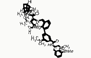 COc1cccc(C[C@@H](CN(C)C)NC(=O)c2cc(-c3cccc(CN4O[C@@H](CO)[C@H]([C@H](C)O)[C@H]4C(=O)N[C@H]4C[C@H]5C[C@@H]([C@@H]4C)C5(C)C)c3OC)cc(N(C)C)c2)c1